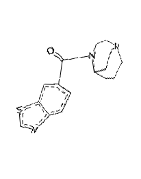 O=C(c1ccc2ncsc2c1)N1CCN2CCC1CC2